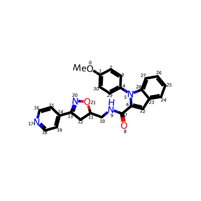 COc1ccc(-n2c(C(=O)NCC3CC(c4ccncc4)=NO3)cc3ccccc32)cc1